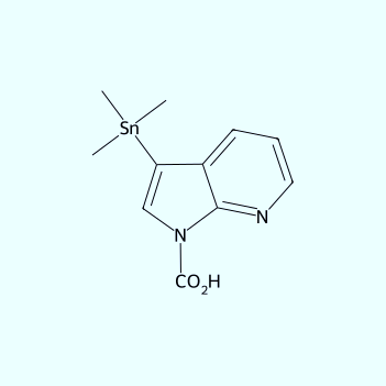 [CH3][Sn]([CH3])([CH3])[c]1cn(C(=O)O)c2ncccc12